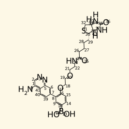 Nc1cnnc2cc(-c3cc(B(O)O)ccc3OCCOCCNC(=O)CCCC[C@@H]3SC[C@@H]4NC(=O)N[C@@H]43)ccc12